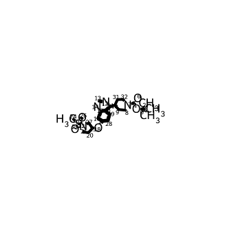 CC(C)(C)OC(=O)N1CCC(c2ncnc3cc(OC4CCN(S(C)(=O)=O)C4)ccc23)CC1